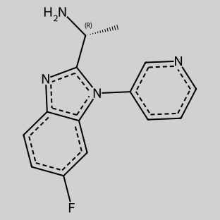 C[C@@H](N)c1nc2ccc(F)cc2n1-c1cccnc1